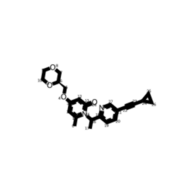 Cc1cc(OC[C@@H]2COCCO2)cc(=O)n1C(C)c1ccc(C#CC2CC2)cn1